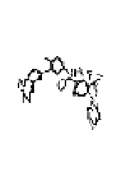 Cc1ccc(NC(=O)c2ccc(CN3CCN(C)CC3)c(C(F)(F)F)c2)cc1-c1ccc2ncncc2c1